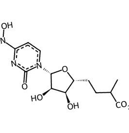 CC(CC[C@H]1O[C@@H](n2ccc(NO)nc2=O)[C@H](O)[C@@H]1O)C(=O)O